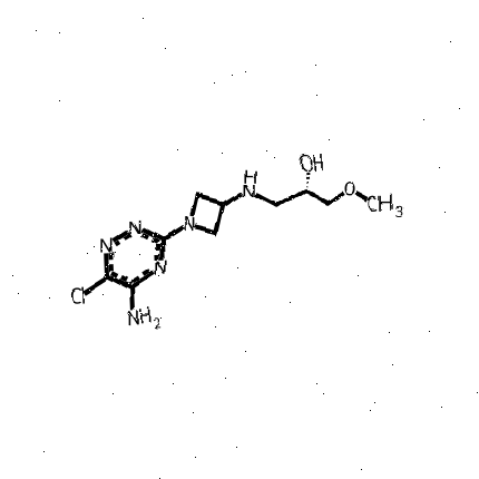 COC[C@@H](O)CNC1CN(c2nnc(Cl)c(N)n2)C1